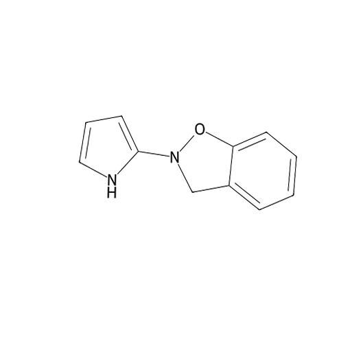 c1c[nH]c(N2Cc3ccccc3O2)c1